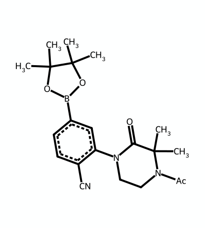 CC(=O)N1CCN(c2cc(B3OC(C)(C)C(C)(C)O3)ccc2C#N)C(=O)C1(C)C